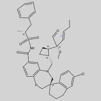 CC/C=C/[C@@](C=O)(OC)[C@@H]1CC[C@H]1CN1C[C@@]2(CCCc3cc(Cl)ccc32)COc2ccc(C(=O)NS(=O)(=O)[C@H](C)Cc3ccccc3)cc21